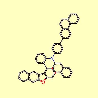 c1ccc(N(c2ccc(-c3ccc4c(ccc5ccccc54)c3)cc2)c2ccc3ccccc3c2)c(-c2cccc3oc4cc5ccccc5cc4c23)c1